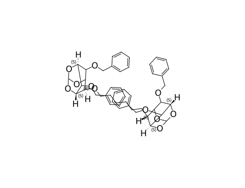 c1ccc(COC2C3OC4O[C@@H]2C(OCc2ccccc2)[C@@H](O4)[C@@H]3CCCCCCO[C@@H]2C3OC4O[C@@H](C3OCc3ccccc3)C(OCc3ccccc3)[C@H]2O4)cc1